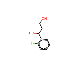 OCCC(O)c1ccccc1F